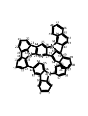 c1ccc(-n2c3ccccc3c3cc(-c4cccc5c6cccc7c8cc9c(nc8n(c45)c76)c4cc5ccccc5c5c6ccc7ccccc7c6n9c45)ccc32)cc1